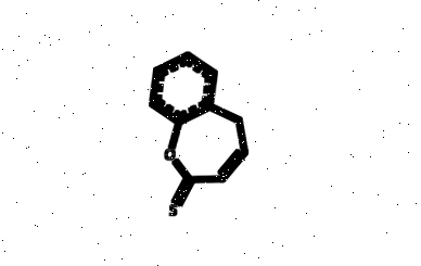 S=C1C=CCc2ccccc2O1